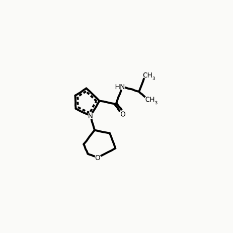 CC(C)NC(=O)c1cccn1C1CCOCC1